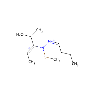 C/C=C(/C(C)C)N(/N=C\CCC)SC